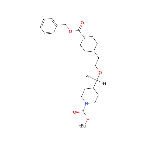 [2H]C([2H])(OCCC1CCN(C(=O)OCc2ccccc2)CC1)C1CCN(C(=O)OC(C)(C)C)CC1